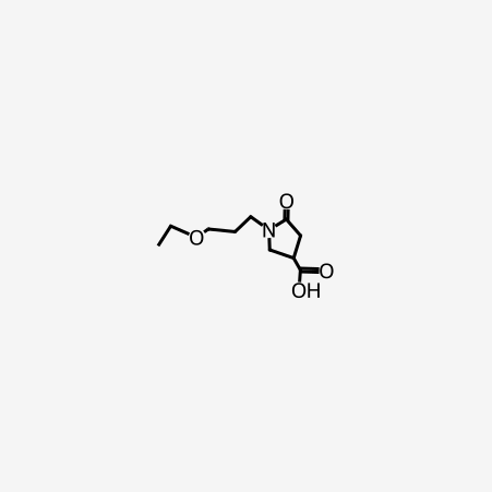 CCOCCCN1CC(C(=O)O)CC1=O